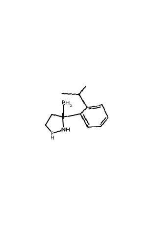 BC1(c2ccccc2C(C)C)CCPN1